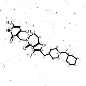 Cc1cc(C)c(CN2CCCc3sc(CC4CCN(CC5CCCCC5)CC4)c(C)c3C2=O)c(=O)[nH]1